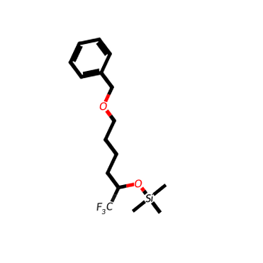 C[Si](C)(C)OC(CCCCOCc1ccccc1)C(F)(F)F